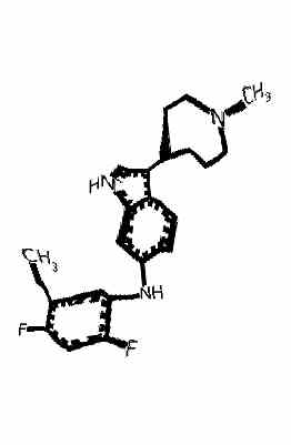 CCc1cc(Nc2ccc3c(C4CCN(C)CC4)c[nH]c3c2)c(F)cc1F